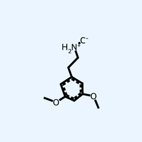 [CH2-][NH2+]CCc1cc(OC)cc(OC)c1